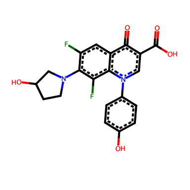 O=C(O)c1cn(-c2ccc(O)cc2)c2c(F)c(N3CCC(O)C3)c(F)cc2c1=O